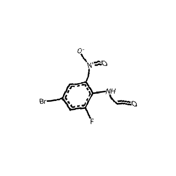 O=CNc1c(F)cc(Br)cc1[N+](=O)[O-]